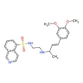 COc1ccc(C=CC(C)NCCNS(=O)(=O)c2cccc3cnccc23)cc1OC